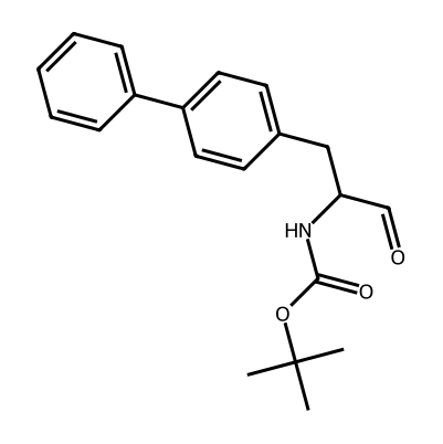 CC(C)(C)OC(=O)NC(C=O)Cc1ccc(-c2ccccc2)cc1